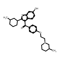 CC1CCCC(c2sc3cc(O)ccc3c2C(=O)c2ccc(OCCN3CCCC(C)C3)cc2)C1